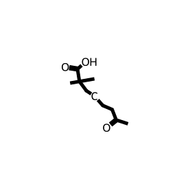 CC(=O)CCCCC(C)(C)C(=O)O